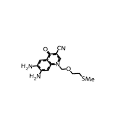 CSCCOCn1cc(C#N)c(=O)c2cc(N)c(N)cc21